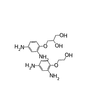 Nc1ccc(OCC(O)CO)c(N)c1.Nc1ccc(OCCO)c(N)c1